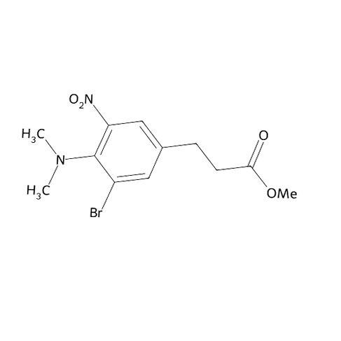 COC(=O)CCc1cc(Br)c(N(C)C)c([N+](=O)[O-])c1